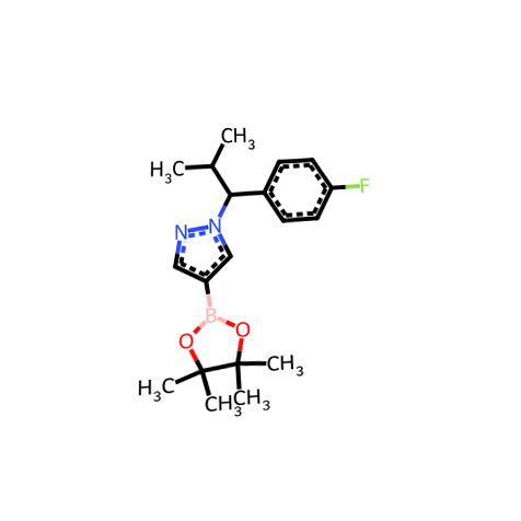 CC(C)C(c1ccc(F)cc1)n1cc(B2OC(C)(C)C(C)(C)O2)cn1